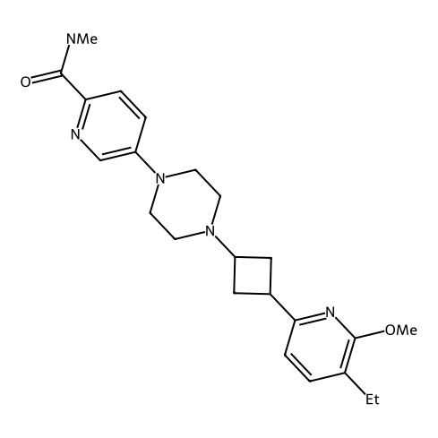 CCc1ccc(C2CC(N3CCN(c4ccc(C(=O)NC)nc4)CC3)C2)nc1OC